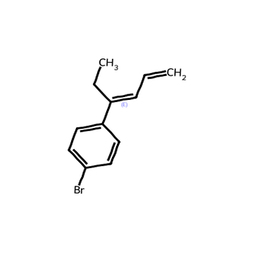 C=C/C=C(\CC)c1ccc(Br)cc1